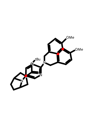 COc1ccc(CN(Cc2ccc(OC)cc2)c2ncc(N3C4CCC3CN(C(=O)OC(C)(C)C)C4)cn2)cc1